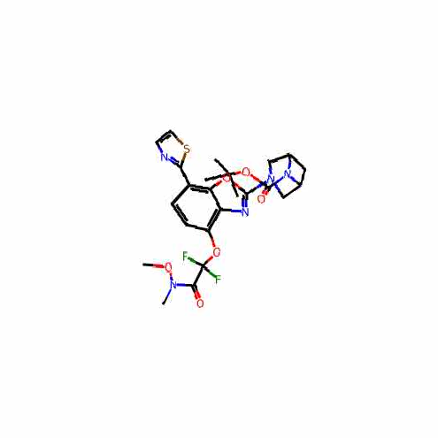 CON(C)C(=O)C(F)(F)Oc1ccc(-c2nccs2)c2oc(N3CC4CC(C3)N4C(=O)OC(C)(C)C)nc12